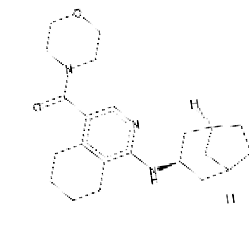 O=C(c1cnc(N[C@@H]2C[C@@H]3CC[C@@H](C3)C2)c2c1CCCC2)N1CCOCC1